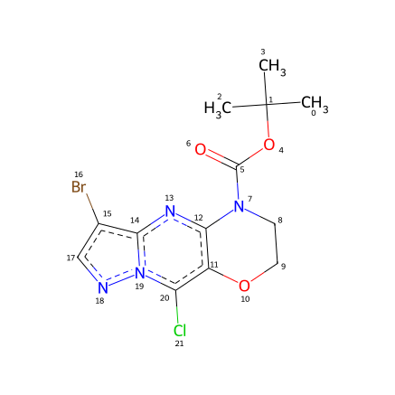 CC(C)(C)OC(=O)N1CCOc2c1nc1c(Br)cnn1c2Cl